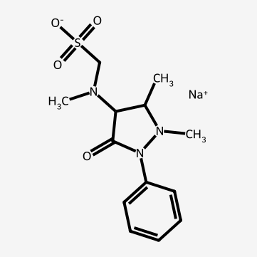 CC1C(N(C)CS(=O)(=O)[O-])C(=O)N(c2ccccc2)N1C.[Na+]